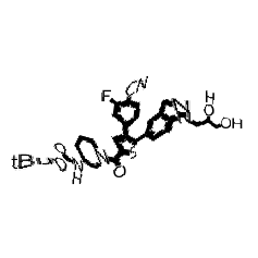 CC(C)(C)OC(=O)N[C@@H]1CCCN(C(=O)c2cc(-c3ccc(C#N)c(F)c3)c(-c3ccc4c(cnn4CC(O)CO)c3)s2)C1